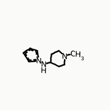 CN1CCC(Nn2cccc2)CC1